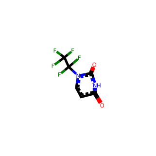 O=c1ccn(C(F)(F)C(F)(F)F)c(=O)[nH]1